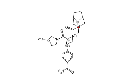 CC(C)(C)[C@H](NC(=O)CN1C2CCC1CN(CCCCc1ccc(C(N)=O)cc1)C2)C(=O)N1CC[C@H](O)C1